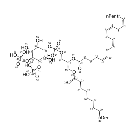 CCCCC/C=C\C/C=C\C/C=C\C/C=C\CCCC(=O)O[C@H](COC(=O)CCCCCCCCCCCCCCCCC)COP(=O)(O)O[C@@H]1[C@@H](O)[C@H](OP(=O)(O)O)[C@@H](OP(=O)(O)O)[C@H](O)[C@@H]1O